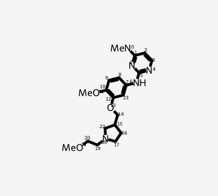 CNc1ccnc(Nc2ccc(OC)c(OCC3CCN(CCOC)C3)c2)n1